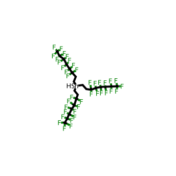 FC(F)(F)C(F)(F)C(F)(F)C(F)(F)C(F)(F)C(F)(F)C[CH2][SnH]([CH2]CC(F)(F)C(F)(F)C(F)(F)C(F)(F)C(F)(F)C(F)(F)F)[CH2]CC(F)(F)C(F)(F)C(F)(F)C(F)(F)C(F)(F)C(F)(F)F